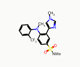 CNS(=O)(=O)c1ccc(N(C)c2ccccc2C(F)(F)F)c(-c2cn(C)cn2)c1